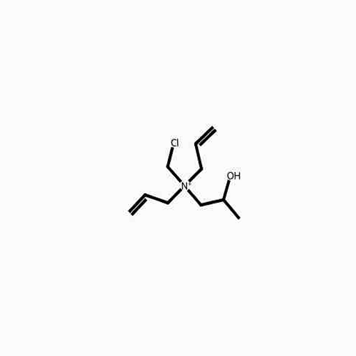 C=CC[N+](CCl)(CC=C)CC(C)O